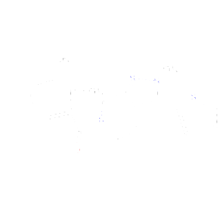 Cc1c(C(=O)N2CCc3c(nn(C)c3-c3ccccn3)C2)cccc1C(F)(F)F